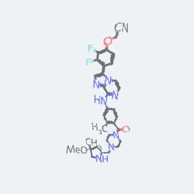 CO[C@@]1(C)CN[C@H](CN2CCN(C(=O)c3ccc(Nc4nccn5c(-c6ccc(OCC#N)c(F)c6F)cnc45)cc3C)CC2)C1